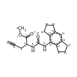 COC(=O)C(CC#N)NC(=O)Nc1c2c(cc3c1CCC3)CCC2